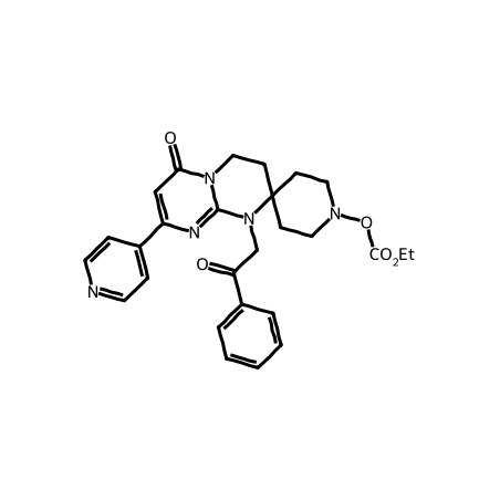 CCOC(=O)ON1CCC2(CC1)CCn1c(nc(-c3ccncc3)cc1=O)N2CC(=O)c1ccccc1